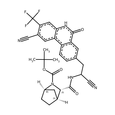 CC(C)(C)OC(=O)N1[C@@H]2CC[C@@H](C2)[C@H]1C(=O)NC(C#N)Cc1ccc2c(c1)c(=O)[nH]c1cc(C(F)(F)F)c(C#N)cc12